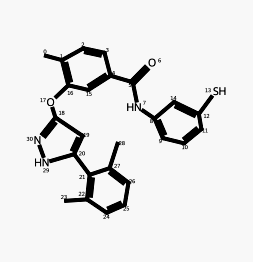 Cc1ccc(C(=O)Nc2cccc(S)c2)cc1Oc1cc(-c2c(C)cccc2C)[nH]n1